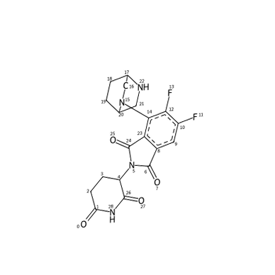 O=C1CCC(N2C(=O)c3cc(F)c(F)c(N4CC5CCC4CN5)c3C2=O)C(=O)N1